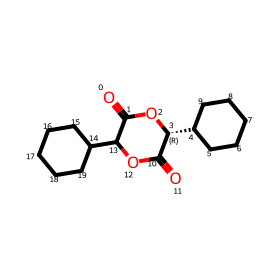 O=C1O[C@H](C2CCCCC2)C(=O)OC1C1CCCCC1